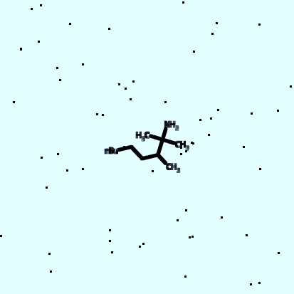 CCCCCCC(C)C(C)(C)N